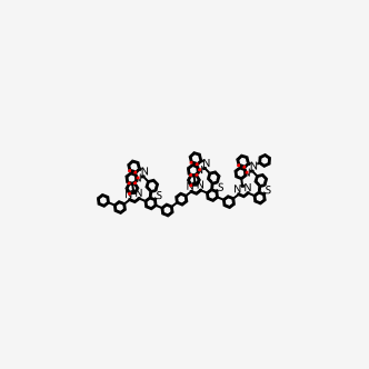 c1ccc(-c2cccc(-c3cc(-c4ccc(-c5cccc(-c6ccc(-c7cc(-c8ccc(-c9cccc(-c%10cc(-c%11cccc%12sc%13ccc(-c%14nc%15ccccc%15n%14-c%14ccccc%14)cc%13c%11%12)nc(-c%11ccccc%11)n%10)c9)c9sc%10ccc(-c%11nc%12ccccc%12n%11-c%11ccccc%11)cc%10c89)nc(-c8ccccc8)n7)cc6)c5)c5sc6ccc(-c7nc8ccccc8n7-c7ccccc7)cc6c45)nc(-c4ccccc4)n3)c2)cc1